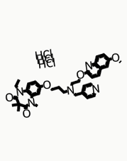 CCN1C(=O)C(C)(C)C(=O)N(C)c2cc(OCCCN(CCOc3ccc4cc(OC)ccc4n3)Cc3ccncc3)ccc21.Cl.Cl.Cl